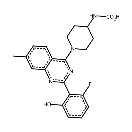 Cc1ccc2c(N3CCC(NC(=O)O)CC3)nc(-c3c(O)cccc3F)nc2c1